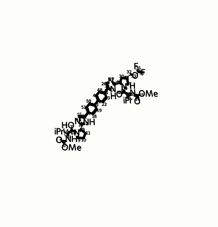 COC(=O)N[C@@H](C(C)C)C(O)N1CCC[C@H]1c1ncc(-c2ccc(-c3ccc(-c4cnc([C@@H]5C[C@H](COC(F)F)CN5C(=O)[C@@H](NC(=O)OC)C(C)C)[nH]4)cc3)cc2)[nH]1